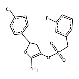 NC1=C(OS(=O)(=O)Cc2cccc(F)c2)CC(c2ccc(Cl)cc2)O1